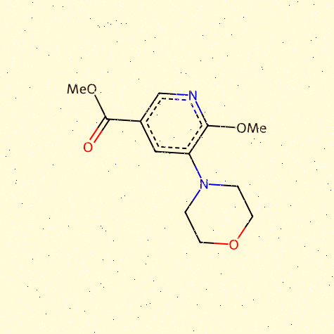 COC(=O)c1cnc(OC)c(N2CCOCC2)c1